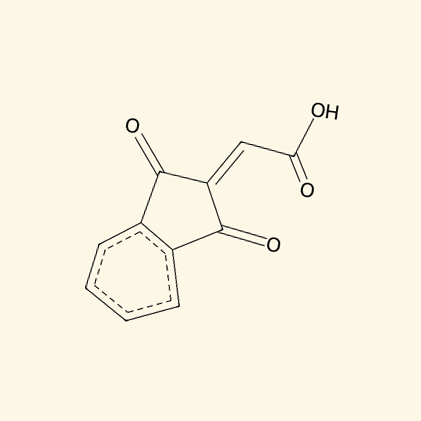 O=C(O)C=C1C(=O)c2ccccc2C1=O